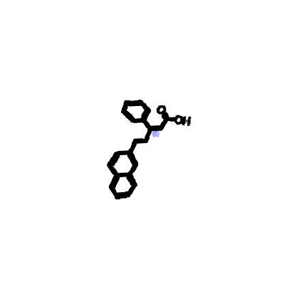 O=C(O)/C=C(/CCc1ccc2ccccc2c1)c1ccccc1